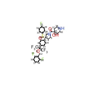 O=C(N1CC[C@](c2ccc(C(OCc3c(F)cccc3F)(C(F)(F)F)C(F)(F)F)cc2)([S+]([O-])c2ccc(F)cc2)C1)C1(O)CCNCC1